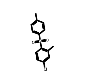 Cc1ccc(S(=O)(=O)c2ccc(Cl)cc2C)cc1